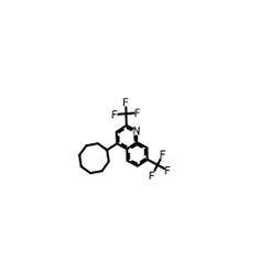 FC(F)(F)c1ccc2c(C3CCCCCCC3)cc(C(F)(F)F)nc2c1